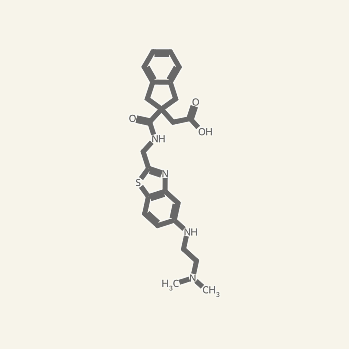 CN(C)CCNc1ccc2sc(CNC(=O)C3(CC(=O)O)Cc4ccccc4C3)nc2c1